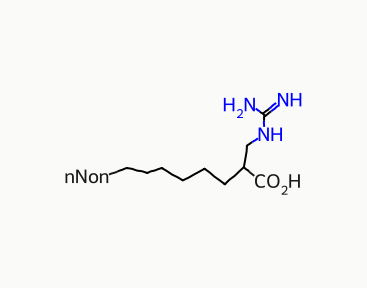 CCCCCCCCCCCCCCCC(CNC(=N)N)C(=O)O